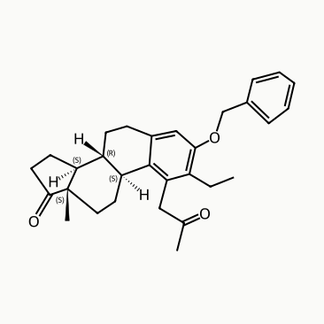 CCc1c(OCc2ccccc2)cc2c(c1CC(C)=O)[C@H]1CC[C@]3(C)C(=O)CC[C@H]3[C@@H]1CC2